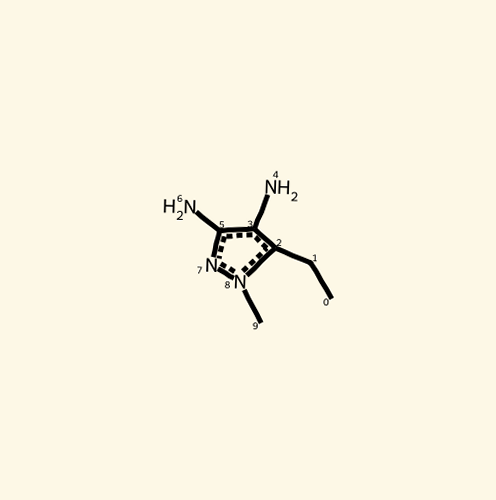 CCc1c(N)c(N)nn1C